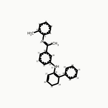 C/C(=N\c1ccccc1C)c1cccc(NC2=C(c3ccccc3)CCC=C2)c1